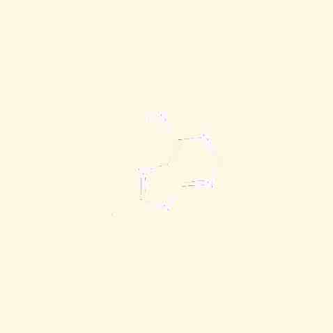 Nc1ncnc2c1N=C(Cl)[N]2